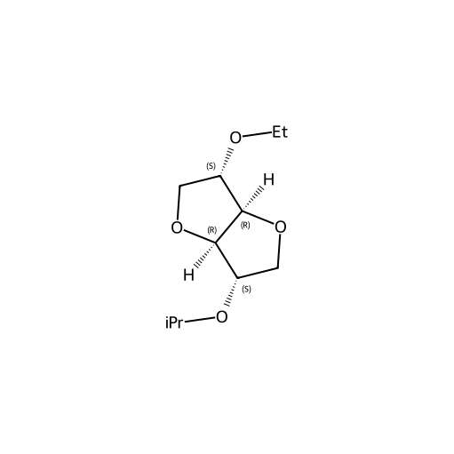 CCO[C@H]1CO[C@H]2[C@@H]1OC[C@@H]2OC(C)C